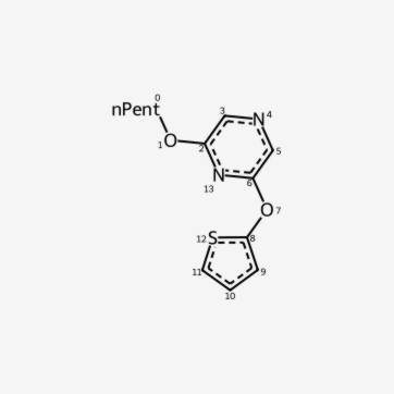 CCCCCOc1cncc(Oc2cccs2)n1